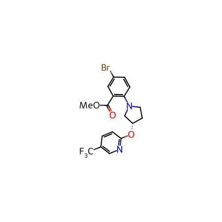 COC(=O)c1cc(Br)ccc1N1CC[C@H](Oc2ccc(C(F)(F)F)cn2)C1